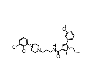 CCCn1c(-c2cccc(OC)c2)cc(C(=O)NCCCN2CCN(c3cccc(Cl)c3Cl)CC2)c1C